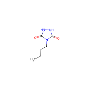 CCCCn1c(=O)[nH][nH]c1=O